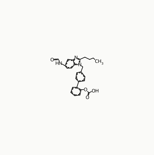 CCCCc1nc2cc(NC=O)ccc2n1Cc1ccc(-c2ccccc2OC(=O)O)cc1